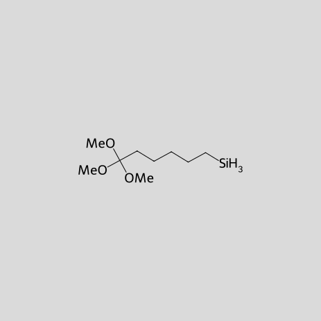 COC(CCCCC[SiH3])(OC)OC